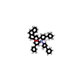 c1ccc(-c2ccc(N(c3cccc(-c4ccccc4)c3)c3cc(-c4ccccc4)ccc3-c3ccc4ccc5ccc6ccccc6c5c4c3)cc2)cc1